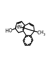 CC12C=CC3=C(CC(O)(C=C3)N1)c1ccccc12